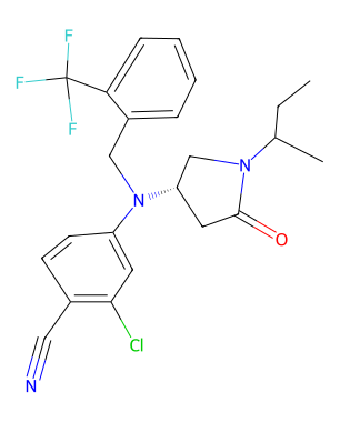 CCC(C)N1C[C@@H](N(Cc2ccccc2C(F)(F)F)c2ccc(C#N)c(Cl)c2)CC1=O